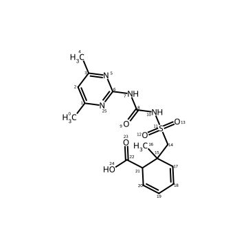 Cc1cc(C)nc(NC(=O)NS(=O)(=O)CC2(C)C=CC=CC2C(=O)O)n1